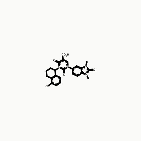 Cn1c(=O)n(C)c2cc(-n3cc(C(=O)O)c(=O)n(C4CCCc5c(Cl)cccc54)c3=O)ccc21